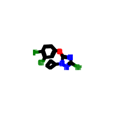 Fc1ccc(Oc2nc(Br)nn2C2CCC2)cc1Cl